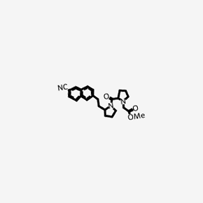 COC(=O)CN1CCCC1C(=O)N1CCCC1CCc1ccc2cc(C#N)ccc2c1